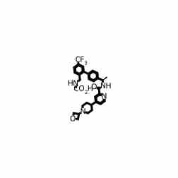 C[C@@H](NC(=O)c1cc(C2CCN(C3COC3)CC2)ccn1)c1ccc(-c2cc(C(F)(F)F)ccc2CNC(=O)O)cc1